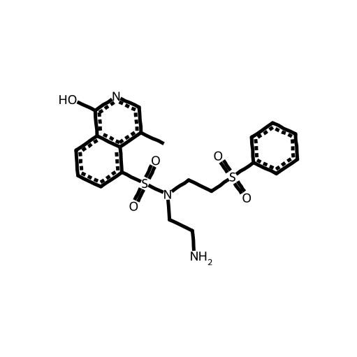 Cc1cnc(O)c2cccc(S(=O)(=O)N(CCN)CCS(=O)(=O)c3ccccc3)c12